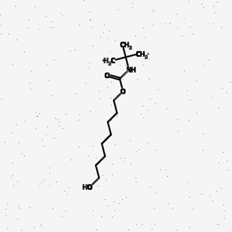 [CH2]C([CH2])(C)NC(=O)OCCCCCCCCO